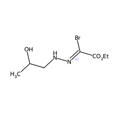 CCOC(=O)/C(Br)=N/NCC(C)O